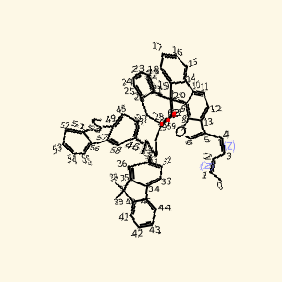 C/C=C\C=C/c1coc2c3c(ccc12)-c1ccccc1C31c2ccccc2Cc2c(N(c3ccc4c(c3)C(C)(C)c3ccccc3-4)c3ccc4sc5ccccc5c4c3)cccc21